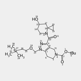 CC(C)(C)OC(=O)N1CCc2c(c(C(=O)N3CCC(O)CC34CC4)nn2COCC[Si](C)(C)C)C1